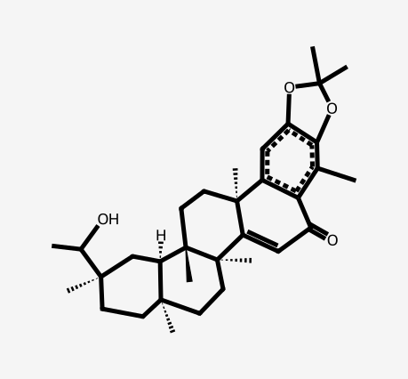 Cc1c2c(cc3c1C(=O)C=C1[C@@]3(C)CC[C@@]3(C)[C@@H]4C[C@](C)(C(C)O)CC[C@]4(C)CC[C@]13C)OC(C)(C)O2